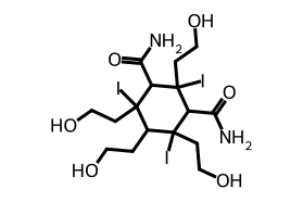 NC(=O)C1C(I)(CCO)C(CCO)C(I)(CCO)C(C(N)=O)C1(I)CCO